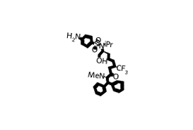 CN[C@H](C(=O)C[C@H](CCC[C@@H](CO)N(C(C)C)S(=O)(=O)c1ccc(N)cc1)C(F)(F)F)C(c1ccccc1)c1ccccc1